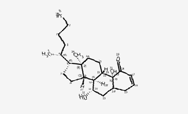 CC(C)CCC[C@@H](C)[C@H]1CC[C@H]2[C@@H]3[C@@H](O)CC4CC=CC(=O)[C@]4(C)[C@H]3CC[C@]12C